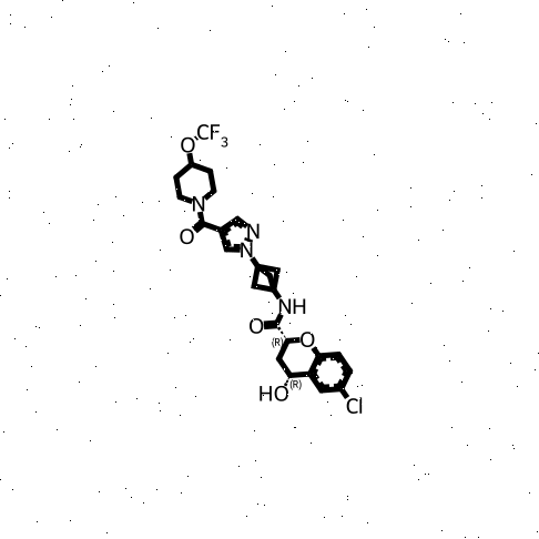 O=C(NC12CC(n3cc(C(=O)N4CCC(OC(F)(F)F)CC4)cn3)(C1)C2)[C@H]1C[C@@H](O)c2cc(Cl)ccc2O1